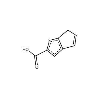 O=C(O)c1cc2c(s1)CC=C2